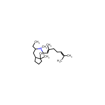 CCC(CC1CCCC1(C)C)N(C)C/C=C(\C)CCC=C(C)C